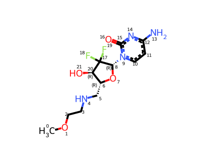 COCCNC[C@H]1O[C@@H](n2ccc(N)nc2=O)C(F)(F)[C@@H]1O